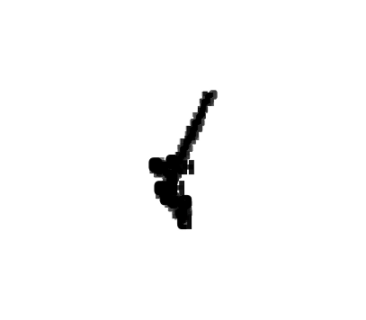 CCC=CCC=CCC=CCC=CCC=CCC=CCCC(=O)NCCN(CCNC(=O)C(C)(C)Oc1ccc(C(=O)c2ccc(Cl)cc2)cc1)CCN1CCOCC1